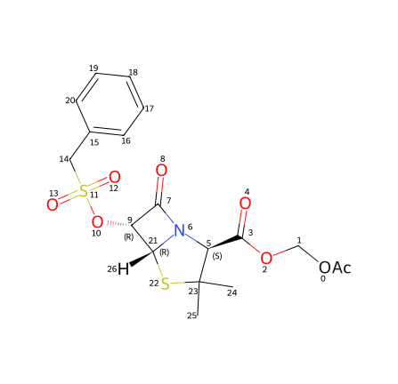 CC(=O)OCOC(=O)[C@@H]1N2C(=O)[C@@H](OS(=O)(=O)Cc3ccccc3)[C@H]2SC1(C)C